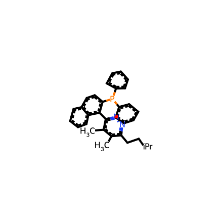 Cc1c(CCC(C)C)nnc(-c2c(P(c3ccccc3)c3ccccc3)ccc3ccccc23)c1C